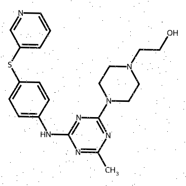 Cc1nc(Nc2ccc(Sc3cccnc3)cc2)nc(N2CCN(CCO)CC2)n1